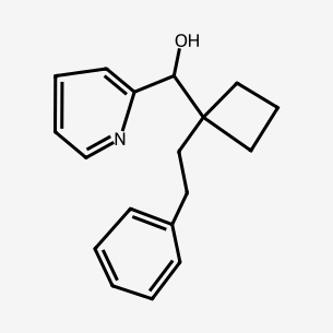 OC(c1ccccn1)C1(CCc2ccccc2)CCC1